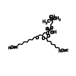 CCCCCCCCCCCCCCCCCOCC(COP(=O)(O)OCC[N+](C)(C)C)OC(=O)CCCCCCCCCCCCCCCC